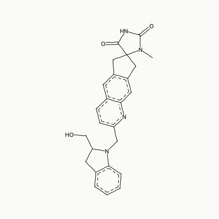 CN1C(=O)NC(=O)C12Cc1cc3ccc(CN4c5ccccc5CC4CO)nc3cc1C2